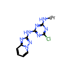 CC(C)Nc1nc(Cl)nc(Nc2nc3ccccn3n2)n1